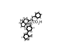 O=C(O)N(Cc1ccccc1)C1=N[C@@]2(c3cc(-c4cccnc4F)ccc3F)CCC[C@H]2CS1